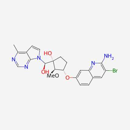 CO[C@@H]1[C@@H](Oc2ccc3cc(Br)c(N)nc3c2)CC[C@]1(O)[C@@H](O)n1ccc2c(C)ncnc21